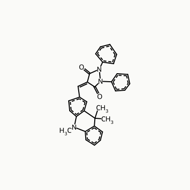 CN1c2ccccc2C(C)(C)c2cc(C=C3C(=O)N(c4ccccc4)N(c4ccccc4)C3=O)ccc21